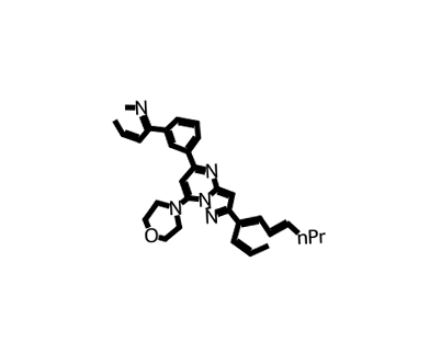 C\C=C/C(=C\C=C\CCC)c1cc2nc(-c3cccc(C(/C=C\C)=N/C)c3)cc(N3CCOCC3)n2n1